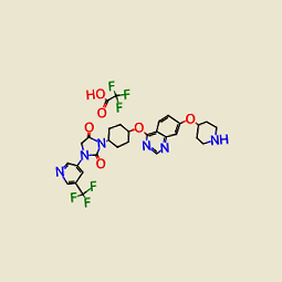 O=C(O)C(F)(F)F.O=C1CN(c2cncc(C(F)(F)F)c2)C(=O)N1[C@H]1CC[C@H](Oc2ncnc3cc(OC4CCNCC4)ccc23)CC1